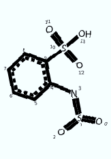 O=S(=O)=Nc1ccccc1S(=O)(=O)O